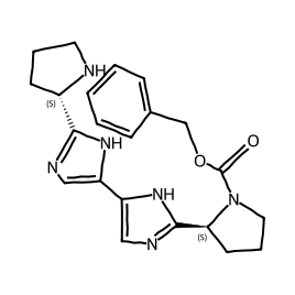 O=C(OCc1ccccc1)N1CCC[C@H]1c1ncc(-c2cnc([C@@H]3CCCN3)[nH]2)[nH]1